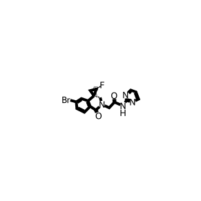 O=C(CN1C[C@@]2(C[C@@H]2F)c2cc(Br)ccc2C1=O)Nc1ncccn1